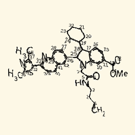 C=CCCNC(=O)CN1c2cc(C(=O)OC)ccc2C(C2CCCCC2)C1c1ccc2nc(-c3sc(C)nc3C)ccc2c1